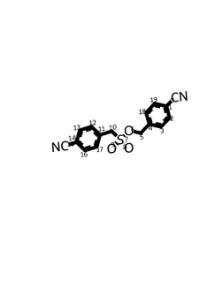 N#Cc1ccc(COS(=O)(=O)Cc2ccc(C#N)cc2)cc1